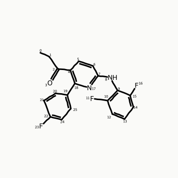 CCC(=O)c1ccc(Nc2c(F)cccc2F)nc1-c1ccc(F)cc1